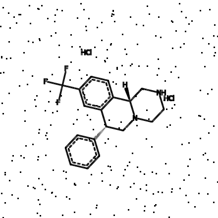 Cl.Cl.FC(F)(F)c1ccc2c(c1)[C@@H](c1ccccc1)CN1CCNC[C@@H]21